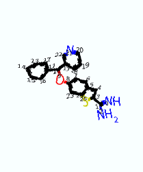 N=C(N)c1cc2ccc(OC(c3ccccc3)c3cccnc3)cc2s1